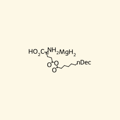 CCCCCCCCCCCCCCCC(=O)OC(=O)CC[C@H](N)C(=O)O.[MgH2]